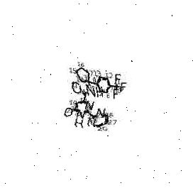 O=C(NC1(c2ccc(C(F)(F)F)cc2)CCCC1)c1cc(=O)[nH]c(-c2ncccn2)n1